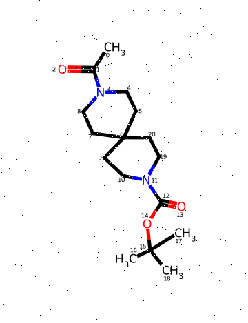 CC(=O)N1CCC2(CC1)CCN(C(=O)OC(C)(C)C)CC2